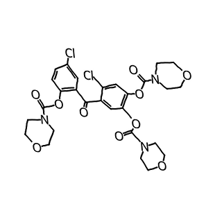 O=C(c1cc(OC(=O)N2CCOCC2)c(OC(=O)N2CCOCC2)cc1Cl)c1cc(Cl)ccc1OC(=O)N1CCOCC1